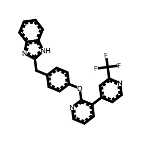 FC(F)(F)c1cc(-c2cccnc2Oc2ccc(Cc3nc4ccccc4[nH]3)cc2)ccn1